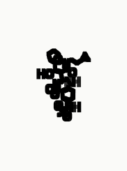 CS(=O)(=O)Nc1ccc2c(c1)S(=O)(=O)N=C(C1=C(O)C3C4CCC(O4)C3N(CCC3CC3)C1=O)N2